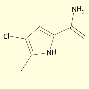 C=C(N)c1cc(Cl)c(C)[nH]1